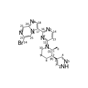 C[C@H]1[C@@H](c2cn[nH]c2)CCCN1c1ccnc(-c2cnc3cnc(Br)cn23)n1